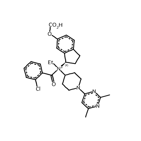 CC[N+](C(=O)c1ccccc1Cl)(C1CCN(c2cc(C)nc(C)n2)CC1)[C@@H]1CCc2ccc(OC(=O)O)cc21